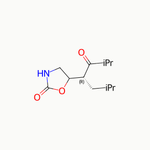 CC(C)C[C@@H](C(=O)C(C)C)C1CNC(=O)O1